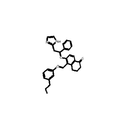 CCCc1cccc(OCc2c(OC(Cc3ncc[nH]3)c3ccccc3)ccc3c2CCCC3=O)c1